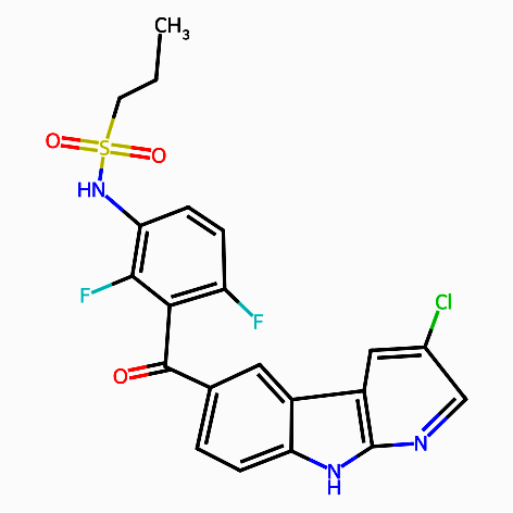 CCCS(=O)(=O)Nc1ccc(F)c(C(=O)c2ccc3[nH]c4ncc(Cl)cc4c3c2)c1F